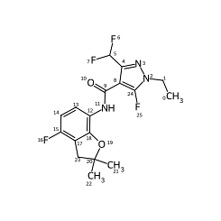 CCn1nc(C(F)F)c(C(=O)Nc2ccc(F)c3c2OC(C)(C)C3)c1F